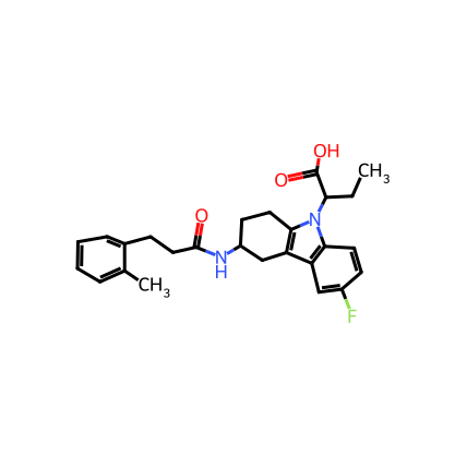 CCC(C(=O)O)n1c2c(c3cc(F)ccc31)CC(NC(=O)CCc1ccccc1C)CC2